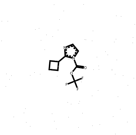 O=C(OC(F)(F)F)n1ccnc1C1CCC1